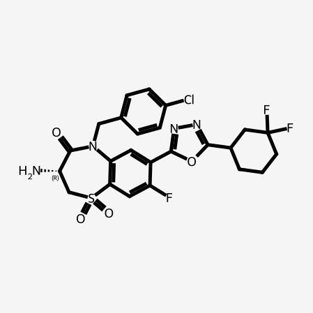 N[C@H]1CS(=O)(=O)c2cc(F)c(-c3nnc(C4CCCC(F)(F)C4)o3)cc2N(Cc2ccc(Cl)cc2)C1=O